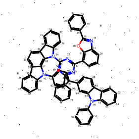 c1ccc(-c2nc(-c3cccc4nc(-c5ccccc5)oc34)nc(-n3c4ccccc4c4ccc5c6ccccc6n(-c6ccc(-c7ccc8c9ccccc9n(-c9ccccc9)c8c7)cc6)c5c43)n2)cc1